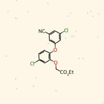 CCOC(=O)COc1cc(Cl)ccc1Oc1cc(Cl)cc(C#N)c1